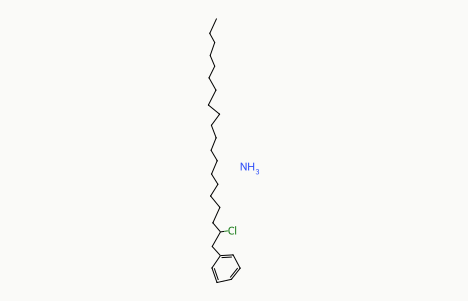 CCCCCCCCCCCCCCCCCCC(Cl)Cc1ccccc1.N